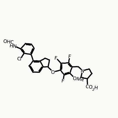 COc1c(F)c(OC2CCc3c(-c4cccc(NC=O)c4Cl)cccc32)c(F)c(F)c1CN1CCC(C(=O)O)C1